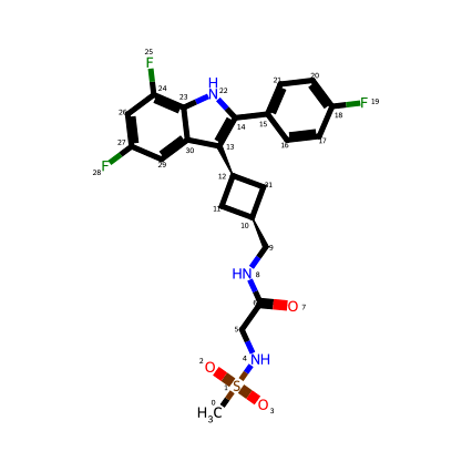 CS(=O)(=O)NCC(=O)NC[C@H]1C[C@@H](c2c(-c3ccc(F)cc3)[nH]c3c(F)cc(F)cc32)C1